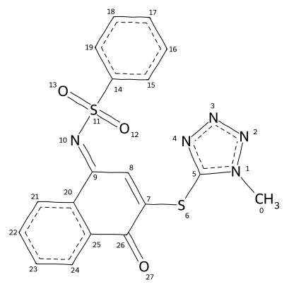 Cn1nnnc1SC1=CC(=NS(=O)(=O)c2ccccc2)c2ccccc2C1=O